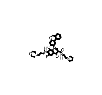 O=C(NCCN1CCCC1)c1cn2c3c(c(NCCCN4CCOCC4)c(F)cc3c1=O)Oc1cc3c(cc1-2)-c1ccccc1CO3